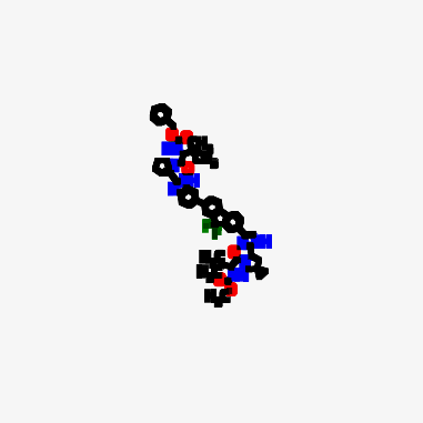 COC(=O)NC(C(=O)N1CC2(CC2)CC1c1nc(-c2ccc3c(c2)C(F)(F)c2cc(-c4ccc5nc(C6C7CCC(C7)N6C(=O)C(NC(=O)OCc6ccccc6)C(C)C)[nH]c5c4)ccc2-3)c[nH]1)C(C)C